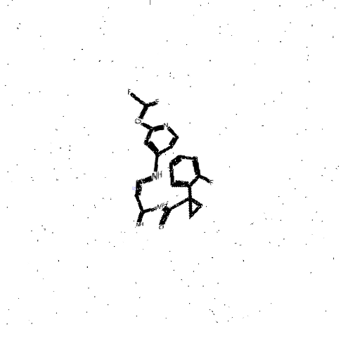 N=C(/C=C\Nc1ccnc(OC(F)F)c1)NC(=O)C1(c2ccccc2F)CC1